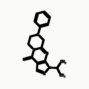 CC(C)n1ncc2c(=O)n3c(nc21)CN(c1ccccc1)CC3